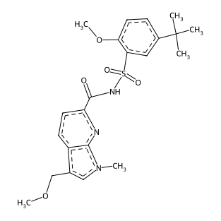 COCc1cn(C)c2nc(C(=O)NS(=O)(=O)c3cc(C(C)(C)C)ccc3OC)ccc12